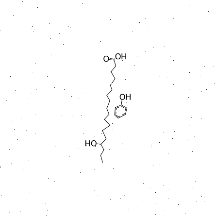 CCCC(O)CCCCCCCCCCCCCC(=O)O.Oc1ccccc1